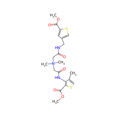 COC(=O)c1cc(CNC(=O)C[N+](C)(C)CC(=O)Nc2c(C)csc2C(=O)OC)cs1